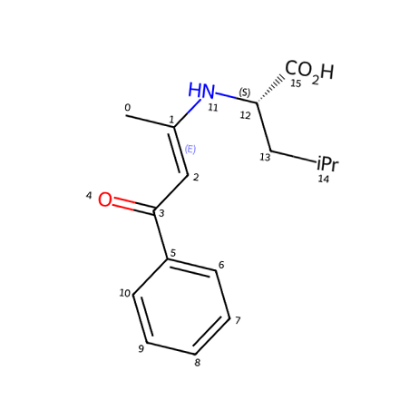 C/C(=C\C(=O)c1ccccc1)N[C@@H](CC(C)C)C(=O)O